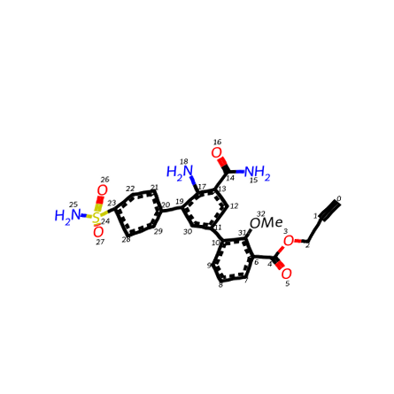 C#CCOC(=O)c1cccc(-c2cc(C(N)=O)c(N)c(-c3ccc(S(N)(=O)=O)cc3)c2)c1OC